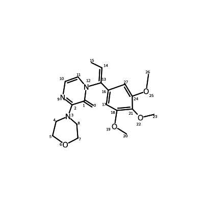 C=C1C(N2CCOCC2)=NC=CN1/C(=C\C)c1cc(OC)c(OC)c(OC)c1